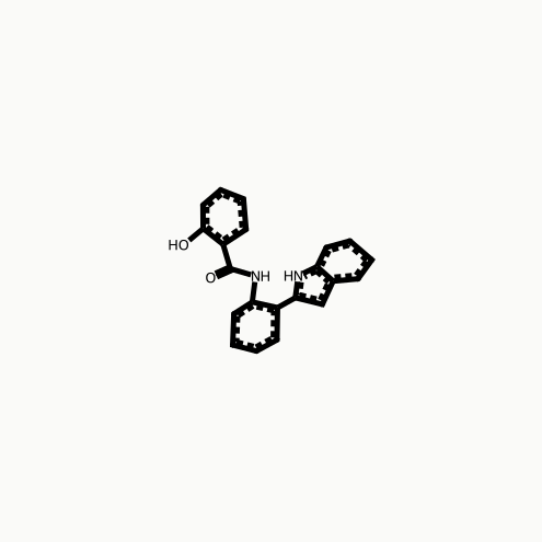 O=C(Nc1ccccc1-c1cc2ccccc2[nH]1)c1ccccc1O